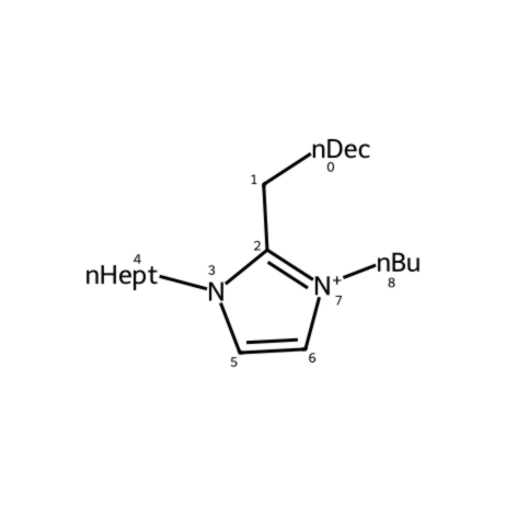 CCCCCCCCCCCc1n(CCCCCCC)cc[n+]1CCCC